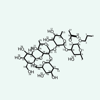 CCCO[C@@H]1OC(C)[C@H](O)C(O[C@@H]2OC(C)[C@H](O)C(O)[C@@H]2O[C@@H]2OC(C)[C@H](O)C(O[C@H]3O[C@@H](CO)[C@@H](O)C(O)C3O)[C@@H]2O[C@@H]2OC(CO)[C@@H](O)C(O)[C@@H]2C)[C@@H]1OC(C)=O